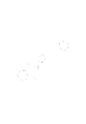 O=C(Nc1scc(C2CCc3ccccc3C2)c1C(=O)O)c1ccccc1N1CCOCC1